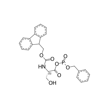 O=C(N[C@@H](CO)C(=O)O[P](=O)OCc1ccccc1)OCC1c2ccccc2-c2ccccc21